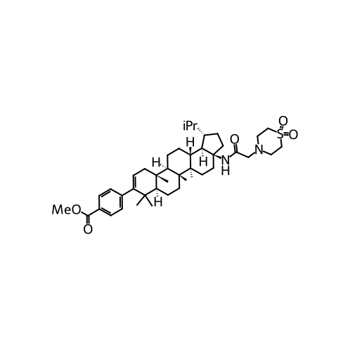 COC(=O)c1ccc(C2=CC[C@]3(C)[C@H]4CC[C@@H]5[C@H]6[C@H](C(C)C)CC[C@]6(NC(=O)CN6CCS(=O)(=O)CC6)CC[C@@]5(C)[C@]4(C)CC[C@H]3C2(C)C)cc1